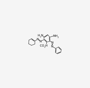 Nc1cc(N)c(N=Nc2ccccc2)c(C(=O)O)c1N=NC1=CCCCC1